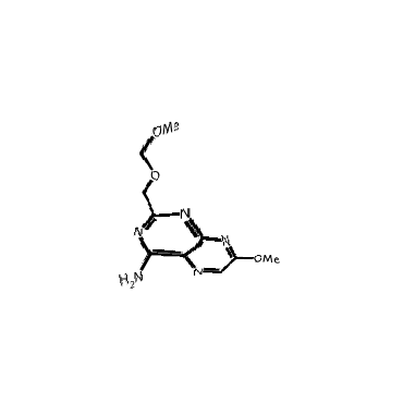 COCOCc1nc(N)c2ncc(OC)nc2n1